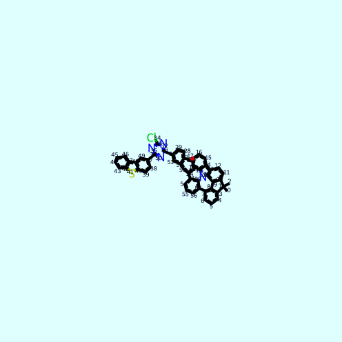 CC1(C)c2cccc3c2-c2c1ccc1c4ccccc4n(c21)-c1c(-c2ccc4ccc(-c5nc(Cl)nc(-c6ccc7sc8ccccc8c7c6)n5)cc4c2)cccc1-3